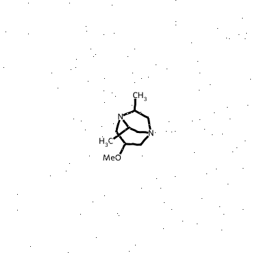 COC1CN2CC(C)N(C1)C(C)C2